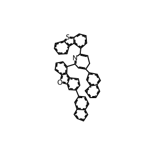 C1=C(c2ccc3ccccc3c2)CC=C(c2cccc3sc4ccccc4c23)N=C1c1cccc2oc3cc(-c4ccc5ccccc5c4)ccc3c12